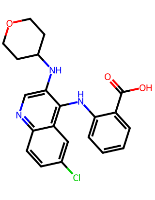 O=C(O)c1ccccc1Nc1c(NC2CCOCC2)cnc2ccc(Cl)cc12